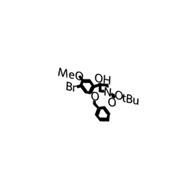 COc1cc(C2(O)CN(C(=O)OC(C)(C)C)C2)c(OCc2ccccc2)cc1Br